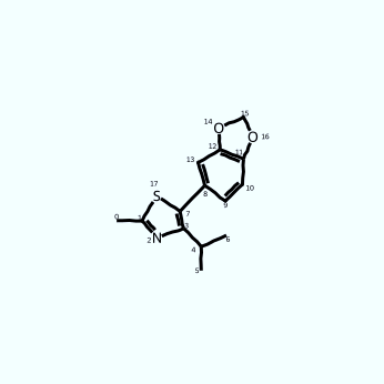 Cc1nc(C(C)C)c(-c2ccc3c(c2)OCO3)s1